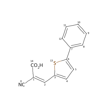 N#CC(=Cc1ccc(-c2ccccc2)s1)C(=O)O